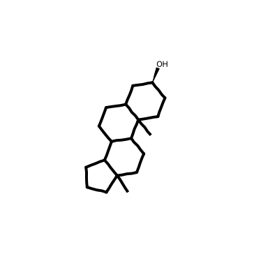 CC12CCCC1C1CCC3C[C@@H](O)CCC3(C)C1CC2